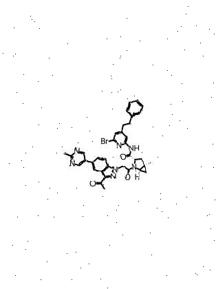 CC(=O)c1nn(CC(=O)N2[C@H](C(=O)Nc3cc(CCc4ccccc4)cc(Br)n3)C[C@@]3(C)C[C@@H]23)c2ccc(-c3cnc(C)nc3)cc12